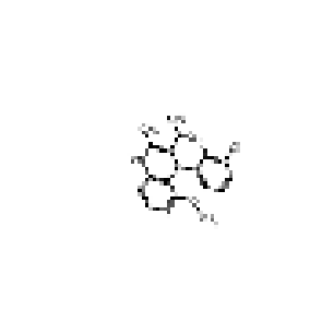 COc1nccc2c1C(c1cccc(Cl)c1F)C(C(=O)O)=C(C)N2